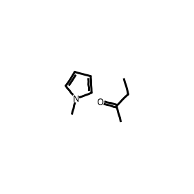 CCC(C)=O.Cn1cccc1